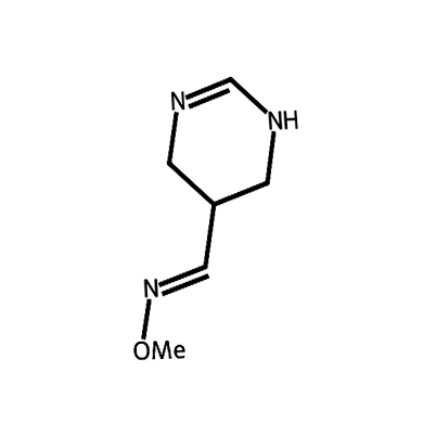 CON=CC1CN=CNC1